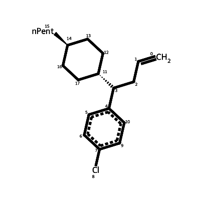 C=CCC(c1ccc(Cl)cc1)[C@H]1CC[C@H](CCCCC)CC1